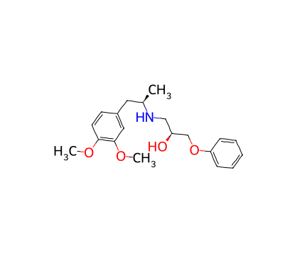 COc1ccc(C[C@@H](C)NC[C@H](O)COc2ccccc2)cc1OC